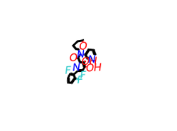 O=C(c1nc(-c2c(F)cccc2F)c(F)c(O)c1O)N(c1cccnc1)C1CCCCO1